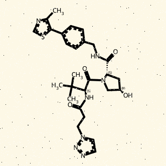 Cc1ncsc1-c1ccc(CNC(=O)[C@@H]2C[C@@H](O)CN2C(=O)[C@@H](NC(=O)CCn2ccnn2)C(C)(C)C)cc1